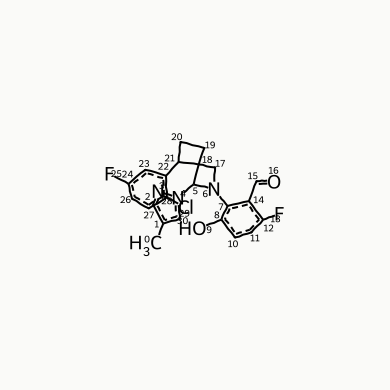 Cc1cnn(C2N(c3c(O)ccc(F)c3C=O)CC23CCC3c2cc(F)ccc2Cl)c1